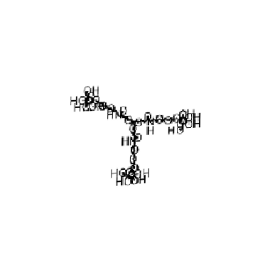 CC(COCCC(=O)NCCOCCOCCO[C@H]1OC(CO)[C@@H](O)C(O)C1O)(COCCC(=O)NCCOCCOCCO[C@H]1OC(CO)[C@@H](O)C(O)C1O)COCCC(=O)NCCOCCOCCO[C@H]1O[C@H](CO)[C@@H](O)C(O)[C@H]1O